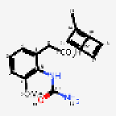 COc1cccc(CC(=O)O)c1NC(N)=O.Cc1cc2ccc1-2